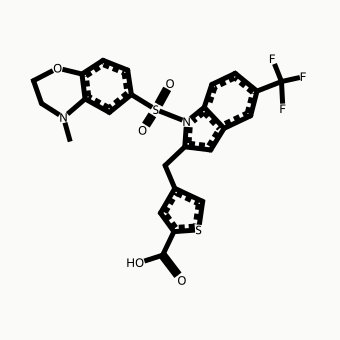 CN1CCOc2ccc(S(=O)(=O)n3c(Cc4csc(C(=O)O)c4)cc4cc(C(F)(F)F)ccc43)cc21